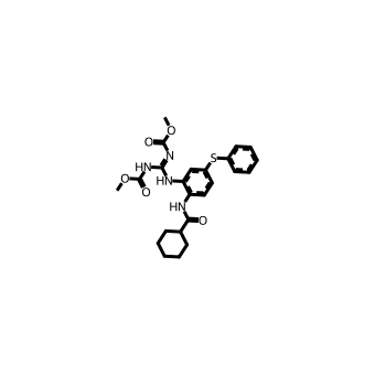 COC(=O)N=C(NC(=O)OC)Nc1cc(Sc2ccccc2)ccc1NC(=O)C1CCCCC1